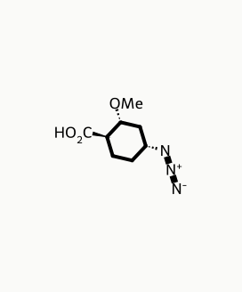 CO[C@@H]1C[C@H](N=[N+]=[N-])CC[C@H]1C(=O)O